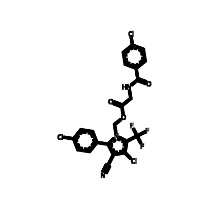 N#Cc1c(Cl)c(C(F)(F)F)n(COC(=O)CNC(=O)c2ccc(Cl)cc2)c1-c1ccc(Cl)cc1